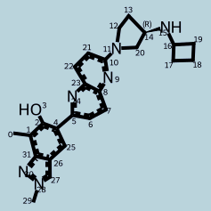 Cc1c(O)c(-c2ccc3nc(N4CC[C@@H](NC5CCC5)C4)ccc3n2)cc2cn(C)nc12